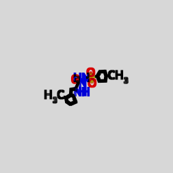 Cc1ccc(S(=O)(=O)NNC(=O)c2cc3c(C)cccc3[nH]2)cc1